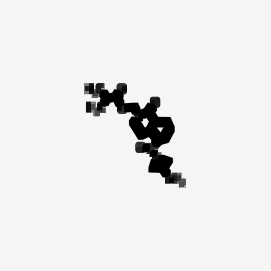 CC(C)C(=O)OCn1ccc2c([S+]([O-])N3CC(N)C3)cccc2c1=O